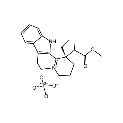 CC[C@@]1(C(C)C(=O)OC)CCC[N+]2=C1c1[nH]c3ccccc3c1CC2.[O-][Cl+3]([O-])([O-])[O-]